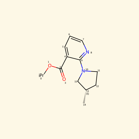 CC(C)OC(=O)c1cccnc1N1CC[C@H](C)C1